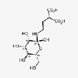 O=C(O)C(CCN[C@]1(O)O[C@H](CO)[C@@H](O)[C@H](O)[C@@H]1O)C(=O)O